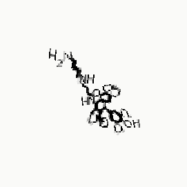 COc1cc(C2c3cc4c(cc3C(NC(=O)CCCNCCCCN)C3COC(=O)C23)OCO4)cc(OC)c1O